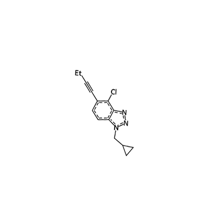 CCC#Cc1ccc2c(nnn2CC2CC2)c1Cl